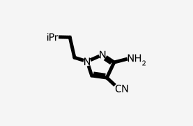 CC(C)CCn1cc(C#N)c(N)n1